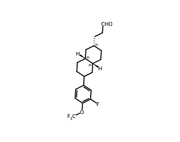 O=CCC[C@@H]1CC[C@@H]2CC(c3ccc(OC(F)(F)F)c(F)c3)CC[C@@H]2C1